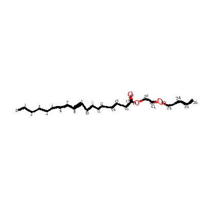 CCCCCCCCC=CCCCCCCCC(=O)OCCOCCCC